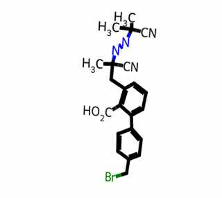 CC(C)(C#N)N=NC(C)(C#N)Cc1cccc(-c2ccc(CBr)cc2)c1C(=O)O